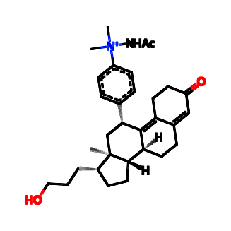 CC(=O)N[N+](C)(C)c1ccc([C@H]2C[C@]3(C)[C@@H](CCCO)CC[C@H]3[C@@H]3CCC4=CC(=O)CCC4=C32)cc1